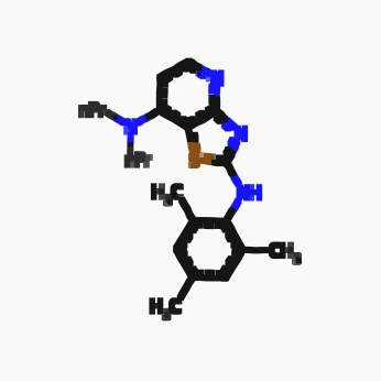 CCCN(CCC)c1ccnc2nc(Nc3c(C)cc(C)cc3C)sc12